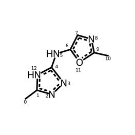 Cc1nnc(Nc2cnc(C)o2)[nH]1